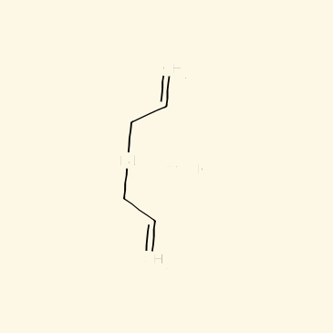 C=C[CH2][Pd][CH2]C=C.Cl.Cl